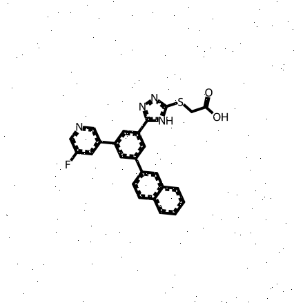 O=C(O)CSc1nnc(-c2cc(-c3cncc(F)c3)cc(-c3ccc4ccccc4c3)c2)[nH]1